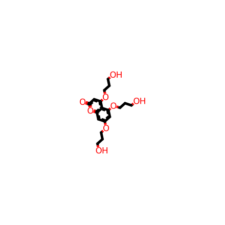 O=c1cc(OCCCO)c2c(OCCCO)cc(OCCCO)cc2o1